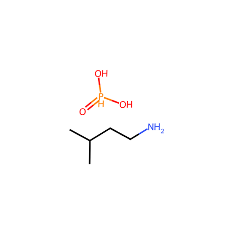 CC(C)CCN.O=[PH](O)O